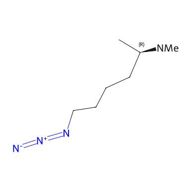 CN[C@H](C)CCCCN=[N+]=[N-]